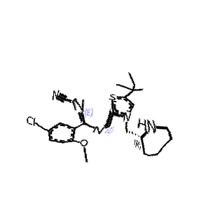 COc1ccc(Cl)cc1C(/N=c1\sc(C(C)(C)C)cn1C[C@H]1CCCCN1)=N\C#N